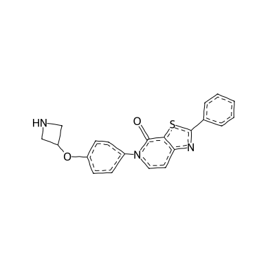 O=c1c2sc(-c3ccccc3)nc2ccn1-c1ccc(OC2CNC2)cc1